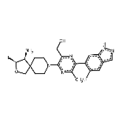 Cc1nc(N2CCC3(CC2)CO[C@@H](I)[C@H]3N)c(CO)nc1-c1cc2[nH]ncc2cc1Cl